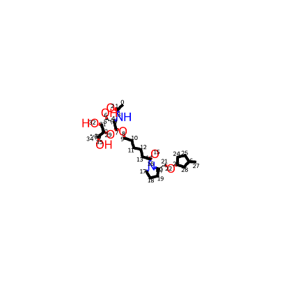 CC(=O)N[C@@H](CO)C(OCCCCCC(=O)N1CCC[C@H]1COC1CCC(C)C1)OC(CO)[C@@H](C)O